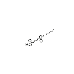 CCCCCCCCOC(=O)C=CC=CC(=O)O